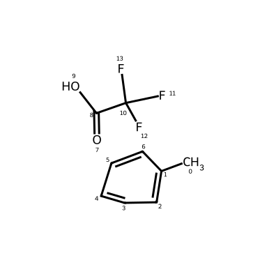 Cc1ccccc1.O=C(O)C(F)(F)F